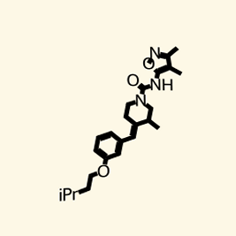 Cc1noc(NC(=O)N2CC/C(=C\c3cccc(OCCC(C)C)c3)C(C)C2)c1C